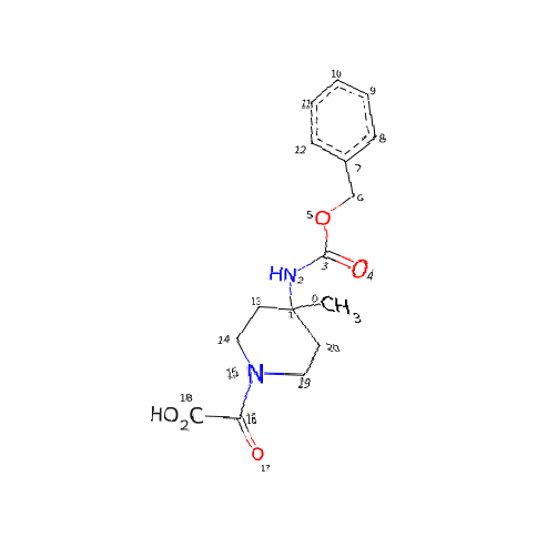 CC1(NC(=O)OCc2ccccc2)CCN(C(=O)C(=O)O)CC1